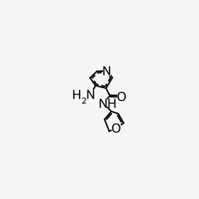 Nc1ccncc1C(=O)NC1=CCOC=C1